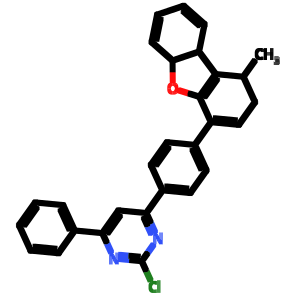 CC1CC=C(c2ccc(-c3cc(-c4ccccc4)nc(Cl)n3)cc2)C2=C1C1C=CC=CC1O2